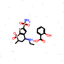 CCNC1CC(C)S(=O)(=O)c2sc(S(N)(=O)=O)cc21.O=C(O)c1ccccc1O